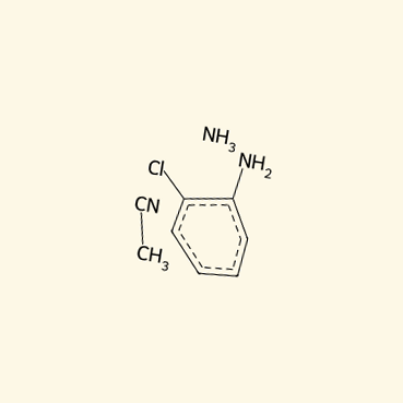 CC#N.N.Nc1ccccc1Cl